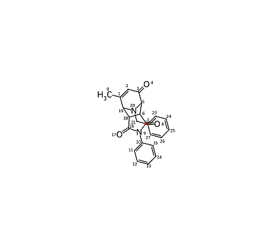 CC1=CC(=O)C2C3C(=O)N(c4ccccc4)C(=O)C3C1N2Cc1ccccc1